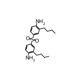 CCCCc1cc(S(=O)(=O)c2ccc(N)c(CCCC)c2)ccc1N